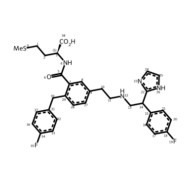 CSCC[C@H](NC(=O)c1cc(CCNCC(c2ccc(F)cc2)c2ncc[nH]2)ccc1Cc1ccc(F)cc1)C(=O)O